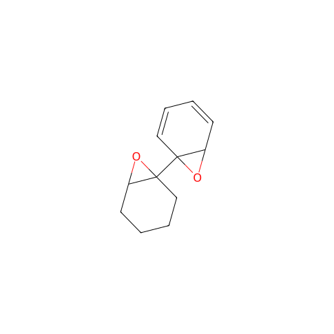 C1=CC2OC2(C23CCCCC2O3)C=C1